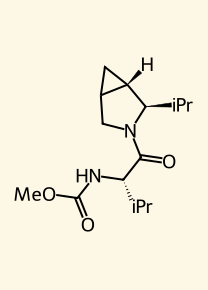 COC(=O)N[C@H](C(=O)N1CC2C[C@@H]2[C@H]1C(C)C)C(C)C